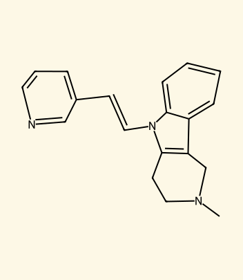 CN1CCc2c(c3ccccc3n2C=Cc2cccnc2)C1